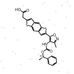 Cc1noc(-c2cc3cc4sc(CC(=O)O)cc4cc3s2)c1NC(=O)O[C@H](C)c1ccccc1